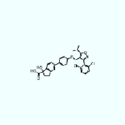 CC(C)c1onc(-c2c(Cl)cccc2Cl)c1COc1ccc(-c2ccc3c(c2)CCC3(O)C(=O)O)cc1